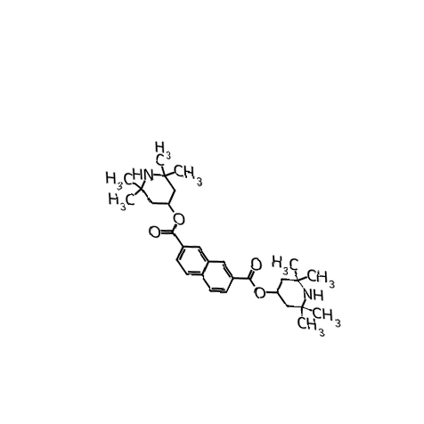 CC1(C)CC(OC(=O)c2ccc3ccc(C(=O)OC4CC(C)(C)NC(C)(C)C4)cc3c2)CC(C)(C)N1